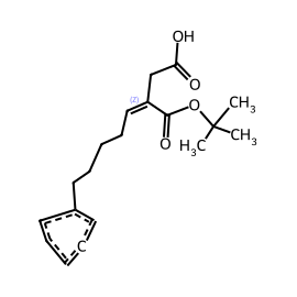 CC(C)(C)OC(=O)/C(=C\CCCCc1ccccc1)CC(=O)O